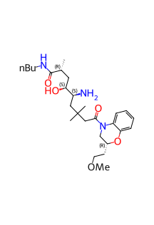 CCCCNC(=O)[C@H](C)C[C@H](O)[C@@H](N)CC(C)(C)CC(=O)N1C[C@@H](CCOC)Oc2ccccc21